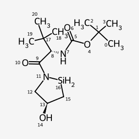 CC(C)(C)OC(=O)N[C@H](C(=O)N1C[C@H](O)C[SiH2]1)C(C)(C)C